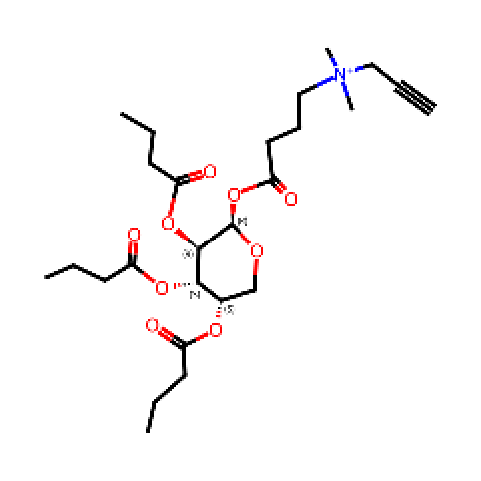 C#CC[N+](C)(C)CCCC(=O)O[C@H]1OC[C@H](OC(=O)CCC)[C@H](OC(=O)CCC)[C@H]1OC(=O)CCC